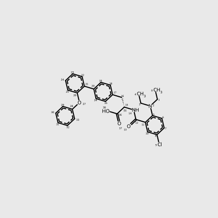 CCN(CC)c1ccc(Cl)cc1C(=O)N[C@@H](Cc1ccc(-c2ccccc2Oc2ccccc2)cc1)C(=O)O